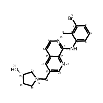 Cc1c(Br)cccc1Nc1nccc2cc(CN3CC[C@H](O)C3)cnc12